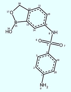 Nc1ccc(S(=O)(=O)Nc2ccc3c(c2)B(O)OC3)cc1